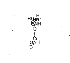 CCN(CC)CC(=O)Nc1ccc(C#Cc2ccc(C(=O)N[C@@H](CN)C(=O)NO)cc2)cc1